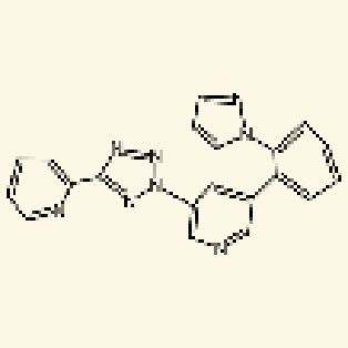 c1ccc(-c2nnn(-c3cncc(-c4ccccc4-n4cccn4)c3)n2)nc1